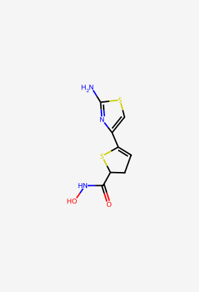 Nc1nc(C2=CCC(C(=O)NO)S2)cs1